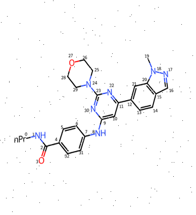 CCCNC(=O)c1ccc(Nc2cc(-c3ccc4cnn(C)c4c3)nc(N3CCOCC3)n2)cc1